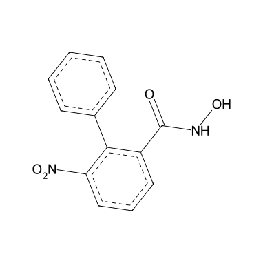 O=C(NO)c1cccc([N+](=O)[O-])c1-c1ccccc1